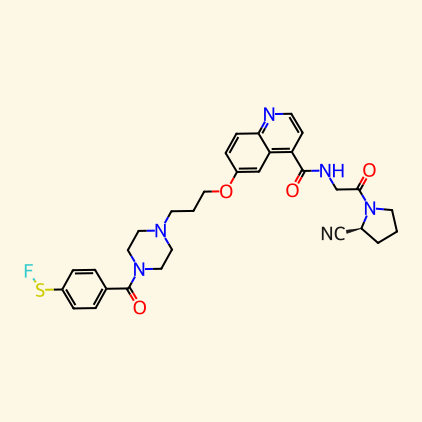 N#C[C@@H]1CCCN1C(=O)CNC(=O)c1ccnc2ccc(OCCCN3CCN(C(=O)c4ccc(SF)cc4)CC3)cc12